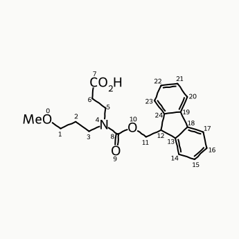 COCCCN(CCC(=O)O)C(=O)OCC1c2ccccc2-c2ccccc21